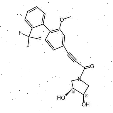 COc1cc(C#CC(=O)N2C[C@@H](O)[C@@H](O)C2)ccc1-c1ccccc1C(F)(F)F